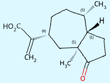 C=C(C(=O)O)[C@@H]1CC[C@H](C)[C@@H]2CCC(=O)[C@@]2(C)C1